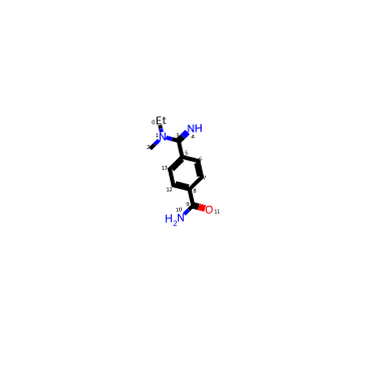 CCN(C)C(=N)c1ccc(C(N)=O)cc1